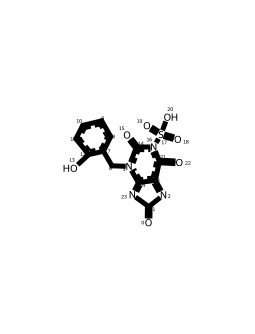 O=C1N=c2c(n(Cc3ccccc3O)c(=O)n(S(=O)(=O)O)c2=O)=N1